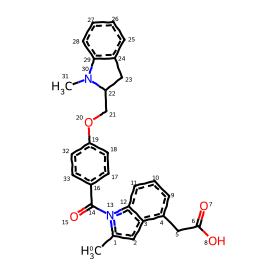 Cc1cc2c(CC(=O)O)cccc2n1C(=O)c1ccc(OCC2Cc3ccccc3N2C)cc1